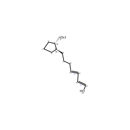 CCCCCCCC[C@H]1CCC[C@@H]1CCC/C=C/C=C/O